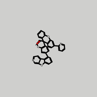 c1ccc(-c2ccc3c(c2)Oc2ccccc2C32c3ccccc3Oc3cc(-c4cccc5oc6cnccc6c45)ccc32)nc1